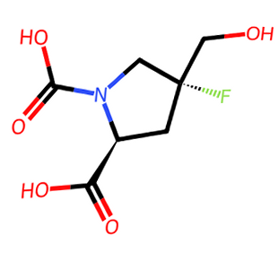 O=C(O)[C@@H]1C[C@](F)(CO)CN1C(=O)O